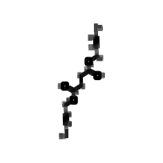 O=C(CCC(=O)OCC#CI)OCC#CI